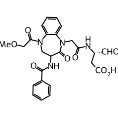 COCC(=O)N1CC(NC(=O)c2ccccc2)C(=O)N(CC(=O)N[C@H](C=O)CC(=O)O)c2ccccc21